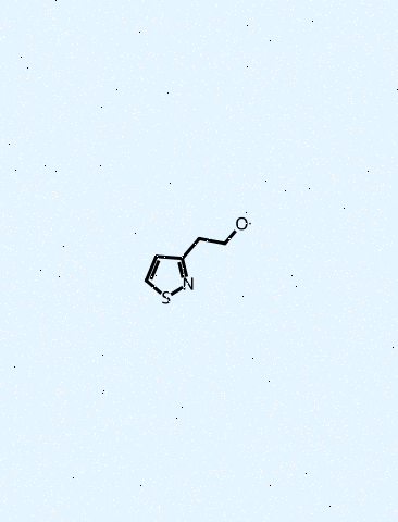 [O]CCc1ccsn1